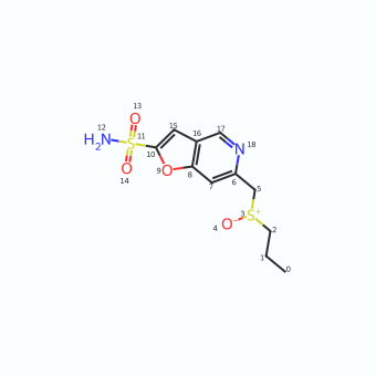 CCC[S+]([O-])Cc1cc2oc(S(N)(=O)=O)cc2cn1